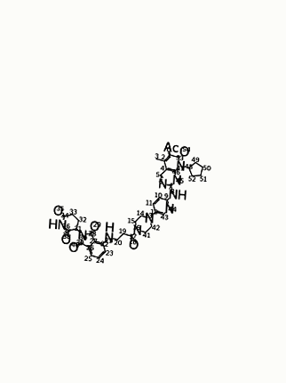 CC(=O)c1c(C)c2cnc(Nc3ccc(N4CCN(C(=O)CCNc5cccc6c5C(=O)N(C5CCC(=O)NC5=O)C6=O)CC4)cn3)nc2n(C2CCCC2)c1=O